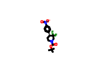 CC(C)(C)OC(=O)N1CC[C@H](c2ccc([N+](=O)[O-])cc2)C(F)(F)C1